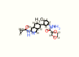 Cc1ccc(N(N)C(=O)[C@@H]2COCCO2)cc1-c1ccc2cc(NC(=O)C3CC3)ncc2c1